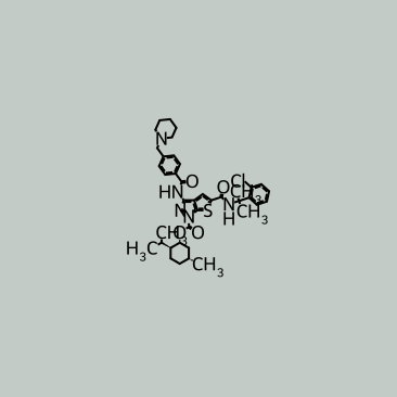 CC(C)[C@@H]1CC[C@@H](C)C[C@H]1OC(=O)n1nc(NC(=O)c2ccc(CN3CCCCC3)cc2)c2cc(C(=O)NC(C)(C)c3ccccc3Cl)sc21